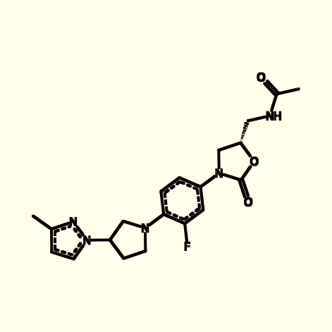 CC(=O)NC[C@H]1CN(c2ccc(N3CCC(n4ccc(C)n4)C3)c(F)c2)C(=O)O1